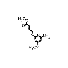 COC(=O)C=CCSc1nc(N)cc(SC)n1